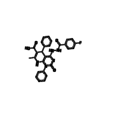 CC1=C(C(=O)O)C(c2ccccc2)c2c(NNC(=O)c3ccc(F)cc3)nc(=O)n(-c3ccccc3)c2N1